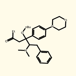 CCCCOC(CC(=O)CC)(c1ccc(N2CCOCC2)cc1)C(Cc1ccccc1)N(C)C